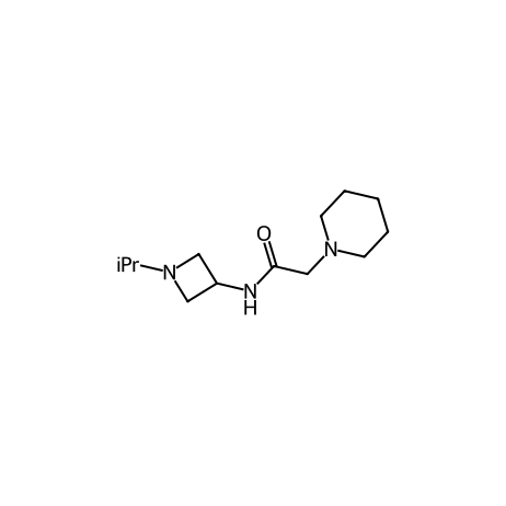 CC(C)N1CC(NC(=O)CN2CCCCC2)C1